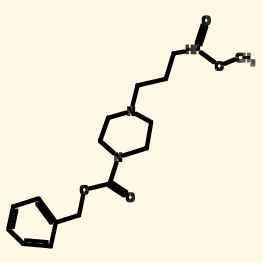 CO[PH](=O)CCCN1CCN(C(=O)OCc2ccccc2)CC1